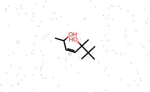 CC(O)/C=C\C(C)(O)C(C)(C)C